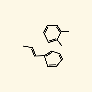 CC=Cc1ccccc1.Cc1ccccc1C